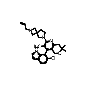 C=CCN1CC2(CCN(c3nc4c(c(-c5c(Cl)ccc6cc[nH]c56)c3C#N)COC(C)(C)C4)C2)C1